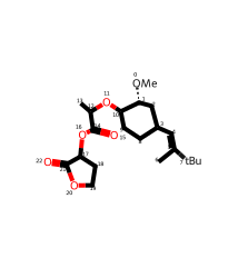 CO[C@@H]1CC(/C=C(\C)C(C)(C)C)CCC1OC(C)C(=O)OC1CCOC1=O